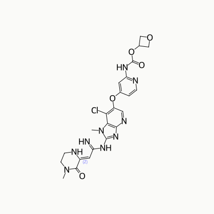 CN1CCN/C(=C\C(=N)Nc2nc3ncc(Oc4ccnc(NC(=O)OC5COC5)c4)c(Cl)c3n2C)C1=O